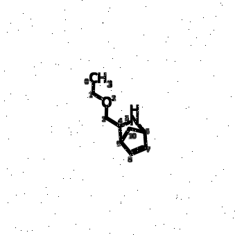 CCOCC1NC2C=CC1C2